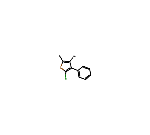 CC(=O)c1c(C)sc(Br)c1-c1ccccc1